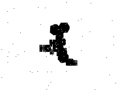 CC(C)(C)c1ccc2nc(CC(NC(=O)OCC3c4ccccc4-c4ccccc43)C(=O)O)sc2c1